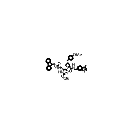 COc1ccc(C[C@@H]2C[C@@H](C(=O)NCc3ccc4c(c3)nnn4C)N(C(=O)[C@@H](CNC(=O)OCC3c4ccccc4-c4ccccc43)NC(=O)OC(C)(C)C)C2)cc1